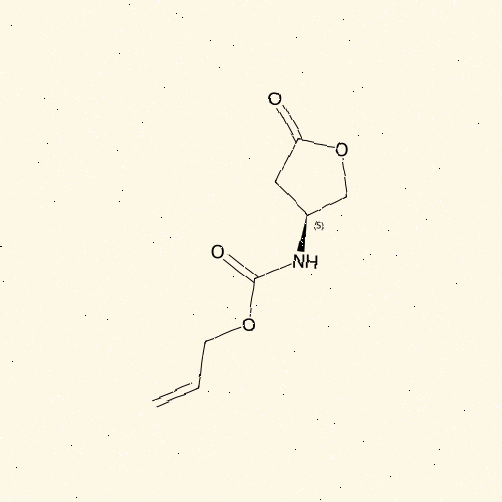 C=CCOC(=O)N[C@@H]1COC(=O)C1